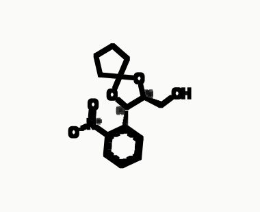 O=[N+]([O-])c1ccccc1[C@@H]1OC2(CCCC2)O[C@H]1CO